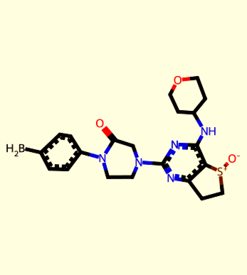 Bc1ccc(N2CCN(c3nc4c(c(NC5CCOCC5)n3)[S+]([O-])CC4)CC2=O)cc1